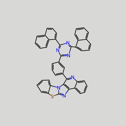 c1cc(-c2nc(-c3cccc4ccccc34)nc(-c3cccc4ccccc34)n2)cc(-c2nc3ccccc3c3nc4sc5ccccc5n4c23)c1